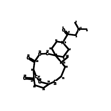 CN(C)CC(=O)N1CCC2(CC1)COC(=O)C1COC(CCCN2C)CCC1=O